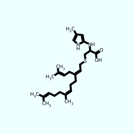 CC(C)=CCCC(C)=CCCC(=CCSCC(Nc1cc(C)c[nH]1)C(=O)O)CC=C(C)C